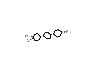 CCCC[C@H]1CC[C@H](C2CCC([C@H]3CC[C@@](C#N)(CCCC)CC3)CC2)CC1